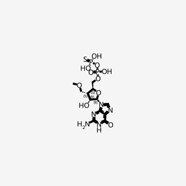 COC[C@H]1[C@@H](O)[C@H](n2cnc3c(=O)[nH]c(N)nc32)O[C@@H]1COP(=O)(O)OP(O)(O)=S